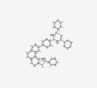 C1=C(c2ccccc2)NC(c2ccc(-c3ccc4ccc5ccc6c(c5c4c3)NC(c3ccccc3)S6)cc2)NC1c1ccccc1